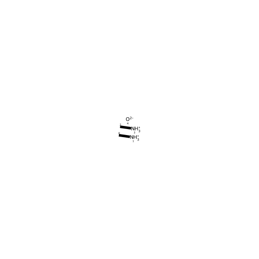 C[NH3+].C[NH3+].[O-2]